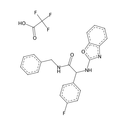 O=C(NCc1ccccc1)C(Nc1nc2ccccc2o1)c1ccc(F)cc1.O=C(O)C(F)(F)F